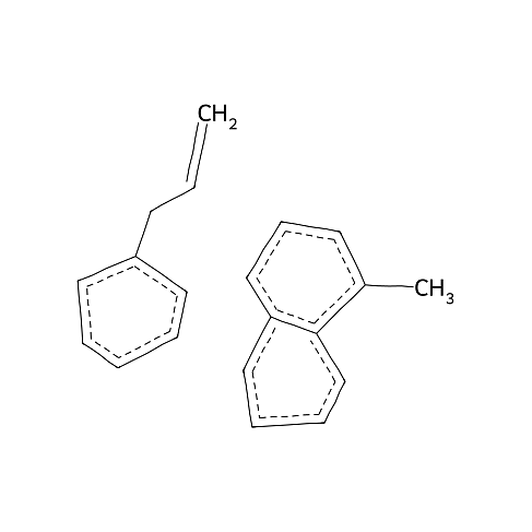 C=CCc1ccccc1.Cc1cccc2ccccc12